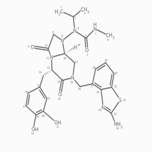 CNC(=O)N(C(C)C)N1CC(=O)N2[C@@H](Cc3ccc(O)c(O)c3)C(=O)N(Cc3cccc4sc(N)nc34)C[C@@H]21